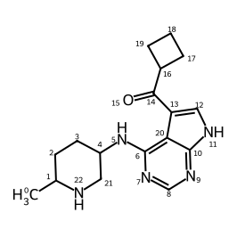 CC1CCC(Nc2ncnc3[nH]cc(C(=O)C4CCC4)c23)CN1